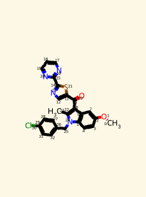 COc1ccc2c(c1)c(C(=O)c1cnc(-c3ncccn3)s1)c(C)n2Cc1ccc(Cl)cc1